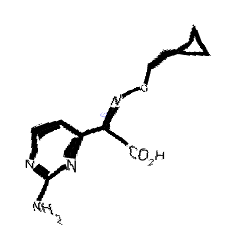 Nc1nccc(/C(=N/OCC2CC2)C(=O)O)n1